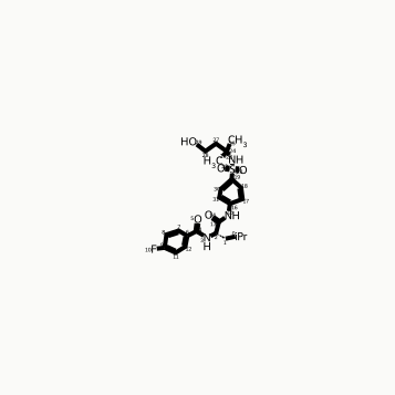 CC(C)C[C@H](NC(=O)c1ccc(F)cc1)C(=O)Nc1ccc(S(=O)(=O)NC(C)(C)CCO)cc1